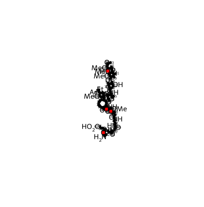 CCN(C(C)=O)C1COC(OC2C(O[C@H]3C#C/C=C\C#C[C@]4(O)CC(=O)C(NC(=O)OC)=C3/C4=C\CSSC(C)(C)CC(=O)NCCNC(=O)[C@H](C)NC(=O)[C@H](CC(N)=O)NC(=O)CCCC(=O)O)OC(C)C(NOC3CC(O)C(SC(=O)c4c(C)c(I)c(OC(C)C(O)C(OC)C5OC5C)c(OC)c4OC)C(C)O3)C2O)CC1OC